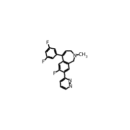 CN1CC=C(c2cc(F)cc(F)c2)c2cc(F)c(-c3cccnn3)cc2C1